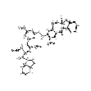 CNc1cc(OC/C(=C\C(=O)OC)COc2cc3c(cc2OC)C(=O)N2c4ccccc4C[C@H]2C=N3)c(OC)cc1C(=O)N1CCc2ccccc21